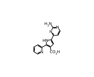 Nc1nccc(-c2cc(C(=O)O)c(-c3ccccn3)[nH]2)n1